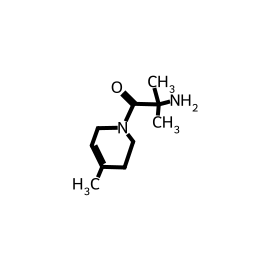 CC1=CCN(C(=O)C(C)(C)N)CC1